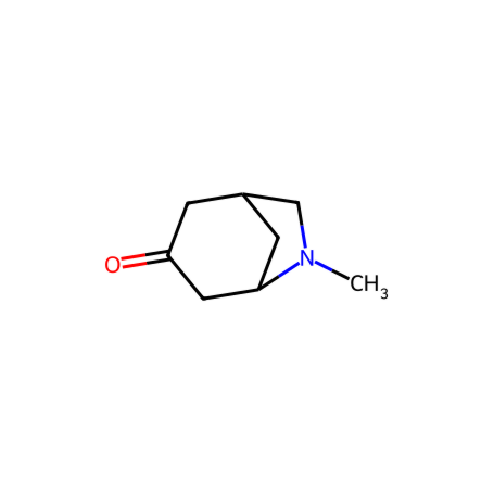 CN1CC2CC(=O)CC1C2